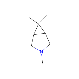 CN1CC2C(C1)C2(C)C